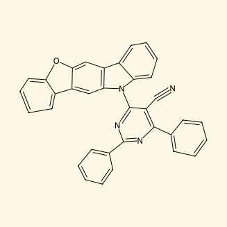 N#Cc1c(-c2ccccc2)nc(-c2ccccc2)nc1-n1c2ccccc2c2cc3oc4ccccc4c3cc21